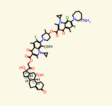 COc1c(N2CCC(OC(=O)c3c(C)n(C4CC4)c4c(Cl)c(N5CCCC[C@@H](N)C5)c(F)c(C)c4c3=O)C(C)C2)c(F)c(C)c2c(=O)c(C(=O)OCC(=O)[C@@]3(O)CC[C@H]4[C@@H]5CCC6=CC(=O)CC[C@]6(C)[C@H]5[C@@H](O)C[C@@]43C)c(C)n(C3CC3)c12